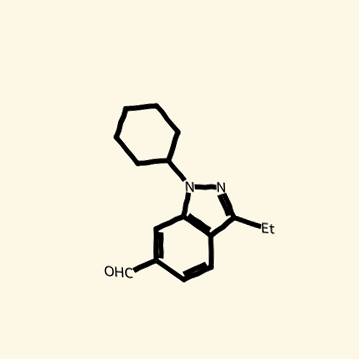 CCc1nn(C2CCCCC2)c2cc(C=O)ccc12